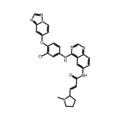 CN1CCCC1C=CC(=O)Nc1ccc2ncnc(Nc3ccc(Oc4ccn5ncnc5c4)c(Cl)c3)c2c1